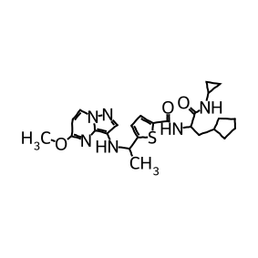 COc1ccn2ncc(NC(C)c3ccc(C(=O)NC(CC4CCCC4)C(=O)NC4CC4)s3)c2n1